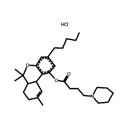 CCCCCc1cc(OC(=O)CCCN2CCCCC2)c2c(c1)OC(C)(C)C1CCC(C)=CC21.Cl